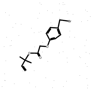 C=CC(C)(C)OC(=O)COc1ccc(CBr)cc1